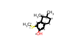 CSc1cc2c(cc1O)CCC(C)C2C